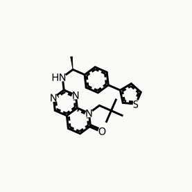 C[C@H](Nc1ncc2ccc(=O)n(CC(C)(C)C)c2n1)c1ccc(-c2ccsc2)cc1